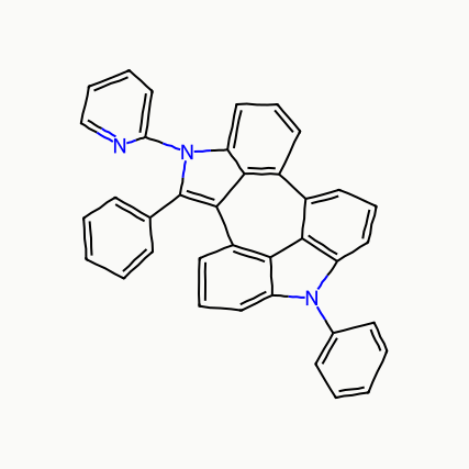 c1ccc(-c2c3c4c(cccc4n2-c2ccccn2)-c2cccc4c2c2c-3cccc2n4-c2ccccc2)cc1